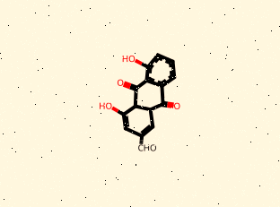 O=CC1=CC2C(=O)c3cccc(O)c3C(=O)C2C(O)=C1